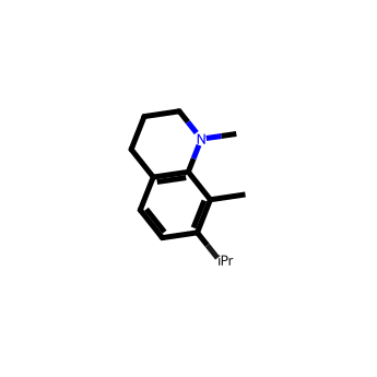 Cc1c(C(C)C)ccc2c1N(C)CCC2